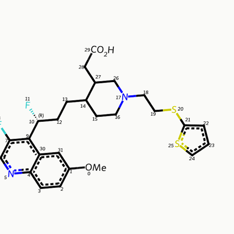 COc1ccc2ncc(F)c([C@H](F)CCC3CCN(CCSc4cccs4)CC3CC(=O)O)c2c1